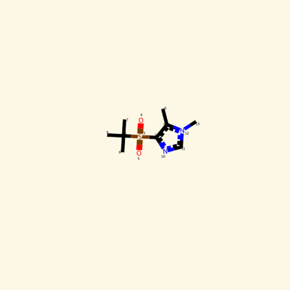 Cc1c(S(=O)(=O)C(C)(C)C)ncn1C